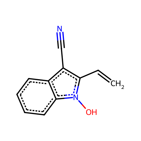 C=Cc1c(C#N)c2ccccc2n1O